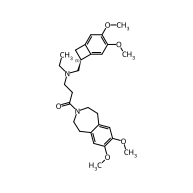 CCN(CCC(=O)N1CCc2cc(OC)c(OC)cc2CC1)C[C@H]1Cc2cc(OC)c(OC)cc21